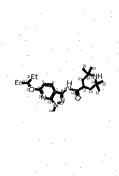 CCC(CC)Oc1ccc2c(NC(=O)C3CC(C)(C)NC(C)(C)C3)nn(C)c2n1